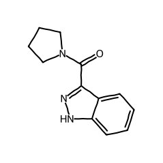 O=C(c1n[nH]c2ccccc12)N1CCCC1